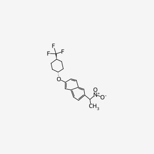 CC(c1ccc2cc(O[C@H]3CC[C@H](C(F)(F)F)CC3)ccc2c1)[N+](=O)[O-]